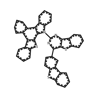 c1ccc2c(c1)sc1ccc(-c3nc(-n4c5ccccc5c5c6ccccc6c6c7ccccc7sc6c54)nc4c3sc3ccccc34)cc12